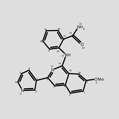 COc1ccc2cc(-c3cccnc3)nc(Nc3ccccc3C(N)=O)c2c1